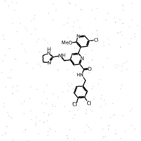 COc1ncc(Cl)cc1-c1cc(CNC2=NCCN2)cc(C(=O)NCc2ccc(Cl)c(Cl)c2)n1